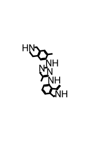 C=C1NCc2cccc(Nc3nc(Nc4cc5c(cc4C)CNCC5)ncc3C)c21